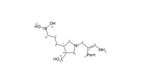 CCCC(C)/C(=C\N)CN1CC(CCCB(O)O)C(C(=O)O)C1